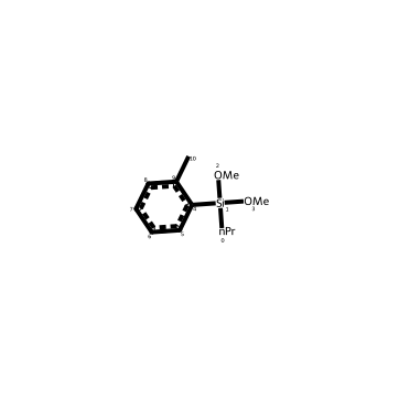 CCC[Si](OC)(OC)c1ccccc1C